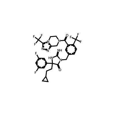 N=C1NC(CCC2CC2)(c2cc(F)cc(F)c2)C(=O)N1Cc1ccc(C(F)(F)F)c(C(=O)N2CCn3c(nnc3C(F)(F)F)C2)c1